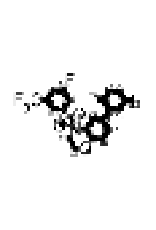 O=S(=O)(c1cc(F)cc(C(F)(F)F)c1)N1CCOc2ccc(-c3cc(F)ccc3F)cc21